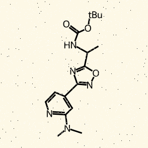 CC(NC(=O)OC(C)(C)C)c1nc(-c2ccnc(N(C)C)c2)no1